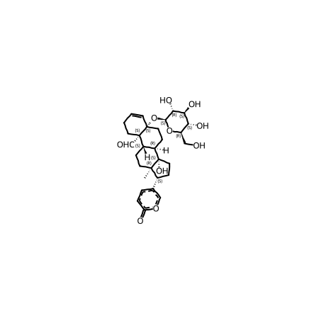 C[C@]12CC[C@H]3[C@@H](CC[C@]4(O[C@@H]5O[C@H](CO)[C@@H](O)[C@H](O)[C@H]5O)C=CCC[C@]34C=O)[C@@]1(O)CC[C@@H]2c1ccc(=O)oc1